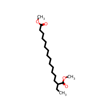 CCC(CCCCCCCCCCCCCC(=O)OC)C(=O)OC